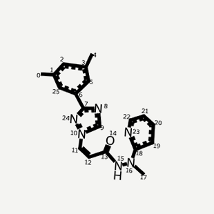 Cc1cc(C)cc(-c2ncn(/C=C\C(=O)NN(C)c3ccccn3)n2)c1